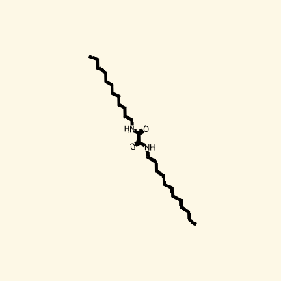 CCCCCCCCCCCCNC(=O)C(=O)NCCCCCCCCCCCC